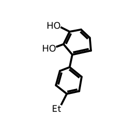 CCc1ccc(-c2cccc(O)c2O)cc1